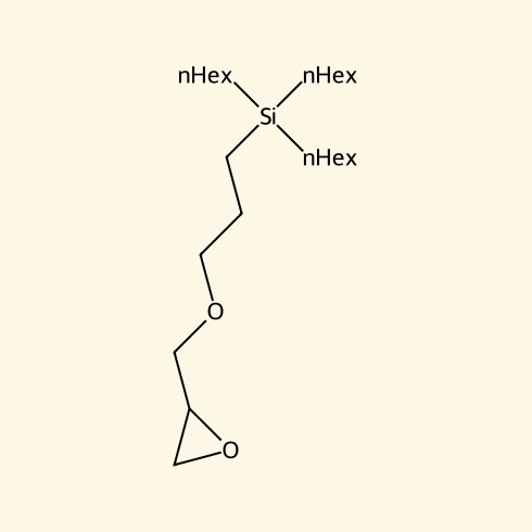 CCCCCC[Si](CCCCCC)(CCCCCC)CCCOCC1CO1